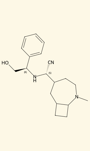 CN1CCC([C@@H](C#N)N[C@@H](CO)c2ccccc2)CC2CCC21